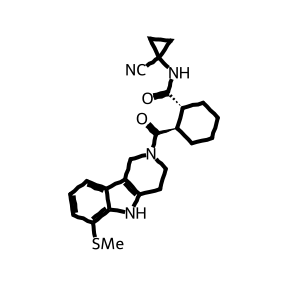 CSc1cccc2c3c([nH]c12)CCN(C(=O)[C@@H]1CCCC[C@H]1C(=O)NC1(C#N)CC1)C3